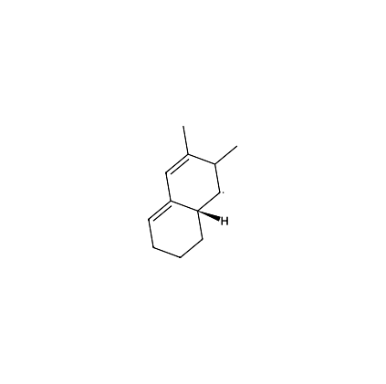 CC1=CC2=CCCC[C@H]2[CH]C1C